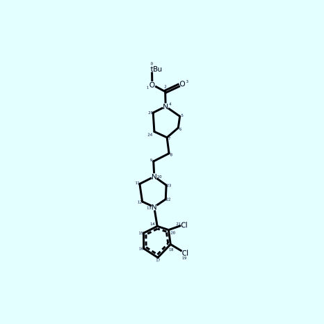 CC(C)(C)OC(=O)N1CCC(CCN2CCN(c3cccc(Cl)c3Cl)CC2)CC1